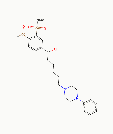 CNS(=O)(=O)c1cc(C(O)CCCCCN2CCN(c3ccccc3)CC2)ccc1[S+](C)[O-]